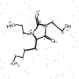 CCCCCC1C(=O)N(CCO)C(=O)N1CCO